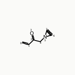 C=CC(=O)CN1C#C1